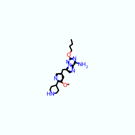 CCCCOc1nc(N)c2ncc(Cc3cnc(C4CCNCC4)c(OC)c3)n2n1